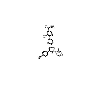 C[C@@H]1CN(c2ncc(C(N)=O)cc2Cl)CCN1c1cc(-c2ccc(C#N)cc2)nc(N2CCOC[C@@H]2C)n1